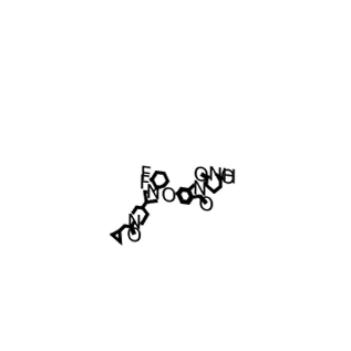 O=C1CCC(N2Cc3cc(O[C@H]4CCCC(F)(F)[C@@H]4N4CC(C5CCN(C(=O)CC6CC6)CC5)C4)ccc3C2=O)C(=O)N1